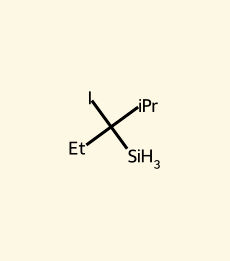 CCC([SiH3])(I)C(C)C